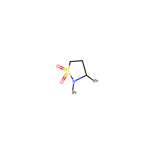 CC(C)C1CCS(=O)(=O)N1C(C)C